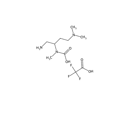 CN(C)CCC(CN)N(C)C(=O)O.O=C(O)C(F)(F)F